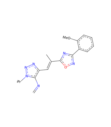 C=Nc1c(/C=C(\C)c2nc(-c3ccccc3OC)no2)nnn1C(C)C